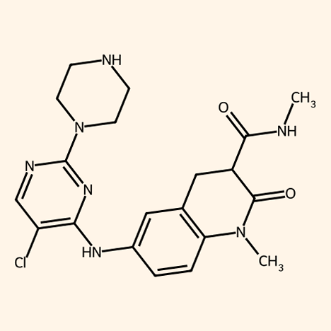 CNC(=O)C1Cc2cc(Nc3nc(N4CCNCC4)ncc3Cl)ccc2N(C)C1=O